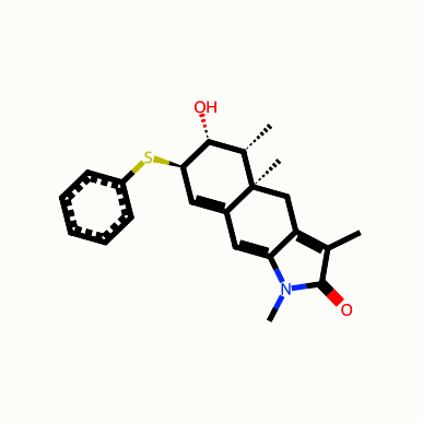 CC1=C2C[C@@]3(C)C(=C[C@@H](Sc4ccccc4)[C@H](O)[C@@H]3C)C=C2N(C)C1=O